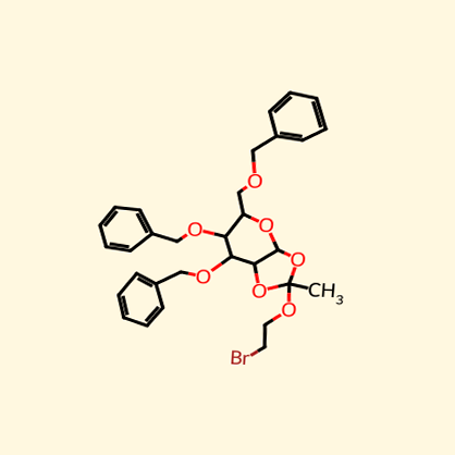 CC1(OCCBr)OC2OC(COCc3ccccc3)C(OCc3ccccc3)C(OCc3ccccc3)C2O1